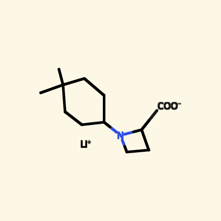 CC1(C)CCC(N2CCC2C(=O)[O-])CC1.[Li+]